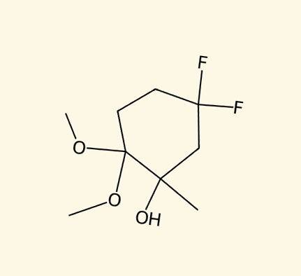 COC1(OC)CCC(F)(F)CC1(C)O